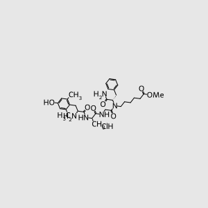 COC(=O)CCCCCN(C(=O)CNC(=O)[C@@H](C)NC(=O)[C@@H](N)Cc1c(C)cc(O)cc1C)[C@@H](Cc1ccccc1)C(N)=O.Cl